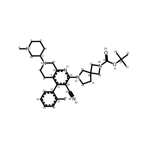 CN1CCCC(N2CCc3c(nc(N4CCC5(CN(C(=O)OC(C)(C)C)C5)C4)c(C#N)c3-c3ccccc3F)C2)C1